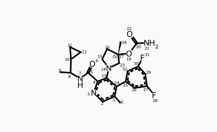 Cc1cnc(C(=O)NC(C)C2CC2)c(N2CC[C@](C)(OC(N)=O)C2)c1-c1cc(F)cc(F)c1